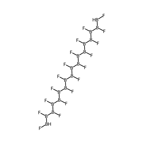 FBB(F)B(F)B(F)B(F)B(F)B(F)B(F)B(F)B(F)B(F)B(F)B(F)B(F)B(F)B(F)B(F)BF